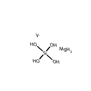 O[Si](O)(O)O.[MgH2].[V]